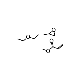 C=CC(=O)OC.CC1CO1.CCOCC